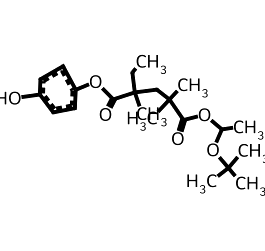 CCC(C)(CC(C)(C)C(=O)OC(C)OC(C)(C)C)C(=O)Oc1ccc(O)cc1